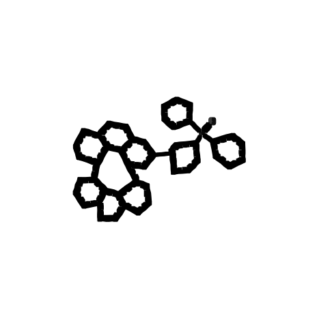 O=P(c1ccccc1)(c1ccccc1)c1cccc(-c2cc3ccc4cccc5c6cccc7ccc8cccc(c(c2)c3c45)c8c76)c1